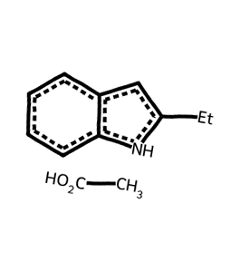 CC(=O)O.CCc1cc2ccccc2[nH]1